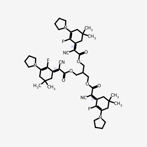 CC1(C)CC(N2CCCC2)=C(F)/C(=C(\C#N)C(=O)OCC(COC(=O)/C(C#N)=C2\CC(C)(C)CC(N3CCCC3)=C2F)COC(=O)/C(C#N)=C2\CC(C)(C)CC(N3CCCC3)=C2F)C1